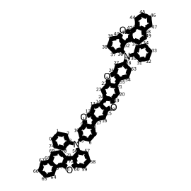 c1ccc(N(c2ccc3c(c2)oc2cc4c(cc23)oc2cc3c(cc24)oc2cc(N(c4ccccc4)c4cccc5oc6c7ccccc7ccc6c45)ccc23)c2cccc3oc4c5ccccc5ccc4c23)cc1